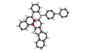 c1ccc(-c2ccc(N(c3ccc4oc5c6ccccc6ccc5c4c3)c3ccccc3-c3ccc4ccccc4c3)cc2)cc1